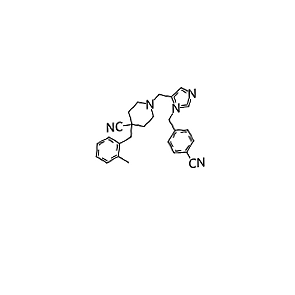 Cc1ccccc1CC1(C#N)CCN(Cc2cncn2Cc2ccc(C#N)cc2)CC1